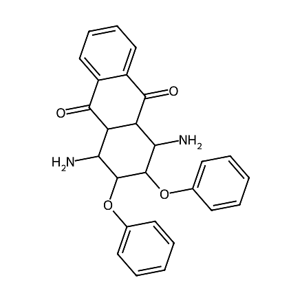 NC1C(Oc2ccccc2)C(Oc2ccccc2)C(N)C2C(=O)c3ccccc3C(=O)C12